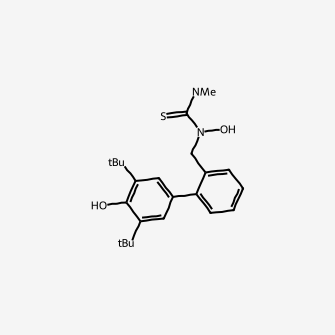 CNC(=S)N(O)Cc1ccccc1-c1cc(C(C)(C)C)c(O)c(C(C)(C)C)c1